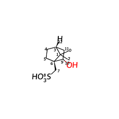 CC1(C)[C@@H]2CC[C@@]1(CS(=O)(=O)O)C(O)C2